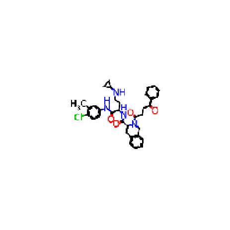 Cc1cc(NC(=O)C(CCNC2CC2)NC(=O)[C@@H]2Cc3ccccc3CN2C(=O)CCC(=O)c2ccccc2)ccc1Cl